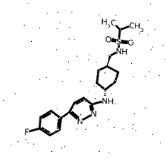 CC(C)S(=O)(=O)NC[C@H]1CC[C@H](Nc2ccc(-c3ccc(F)cc3)nn2)CC1